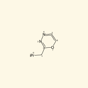 CC(C)CC1=NN=C=CO1